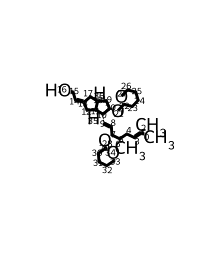 CC(C)=CC[C@H](C)[C@@H](/C=C/[C@@H]1[C@H]2CC(=CCO)C[C@H]2C[C@H]1OC1CCCCO1)OC1CCCCO1